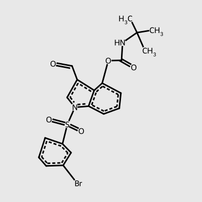 CC(C)(C)NC(=O)Oc1cccc2c1c(C=O)cn2S(=O)(=O)c1cccc(Br)c1